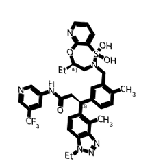 CC[C@@H]1CN(Cc2cc([C@H](CC(=O)Nc3cncc(C(F)(F)F)c3)c3ccc4c(nnn4CC)c3C)ccc2C)S(O)(O)c2cccnc2O1